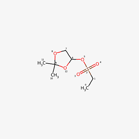 CCS(=O)(=O)OC1COC(C)(C)O1